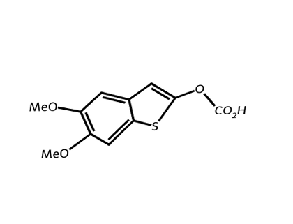 COc1cc2cc(OC(=O)O)sc2cc1OC